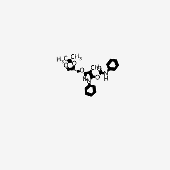 Cc1c(OC[C@@H]2COC(C)(C)O2)nn(-c2ccccc2)c1OC(=O)Nc1ccccc1